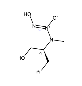 CC(C)C[C@@H](CO)N(C)/[N+]([O-])=N/O